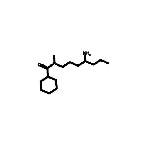 CCCC(N)CCCN(C)C(=O)C1CCCCC1